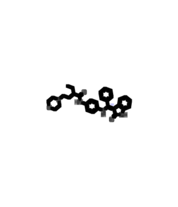 CCC(CCN1CCOCC1)C(=O)Nc1ccc(N/C(=C2\C(=O)Nc3ccccc32)c2ccccc2)cc1